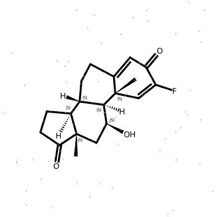 C[C@]12C=C(F)C(=O)C=C1CC[C@@H]1[C@@H]2[C@@H](O)C[C@]2(C)C(=O)CC[C@@H]12